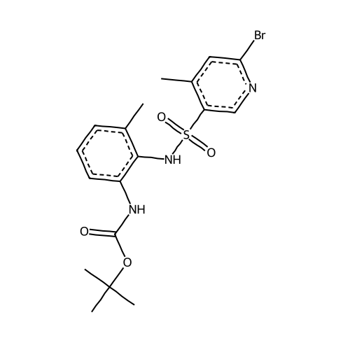 Cc1cc(Br)ncc1S(=O)(=O)Nc1c(C)cccc1NC(=O)OC(C)(C)C